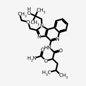 CCOCc1nc2c(NC(=O)C(CC(C)C)OC(N)=O)nc3ccccc3c2n1CC(C)(C)O